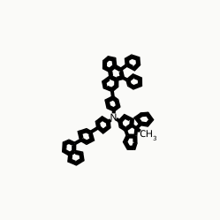 CC1(c2ccccc2)c2ccccc2-c2cc(N(c3ccc(-c4ccc(-c5cccc6ccccc56)cc4)cc3)c3ccc(-c4ccc5c(c4)c(-c4ccccc4)c(-c4ccccc4)c4ccccc45)cc3)ccc21